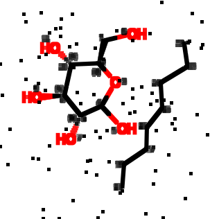 OC[C@H]1OC(O)[C@H](O)[C@@H](O)[C@@H]1O.[CH2]CCCCCCC